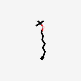 C#CCCCCCCOC(C)(C)C